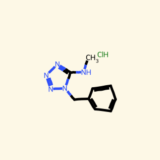 CNc1nnnn1Cc1ccccc1.Cl